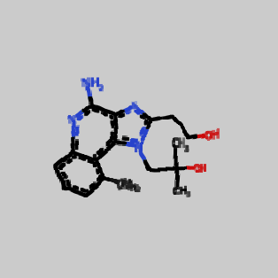 COc1cccc2nc(N)c3nc(CCO)n(CC(C)(C)O)c3c12